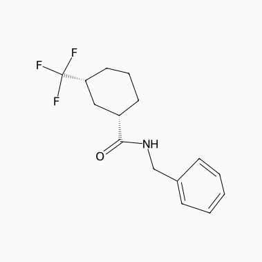 O=C(NCc1ccccc1)[C@H]1CCC[C@@H](C(F)(F)F)C1